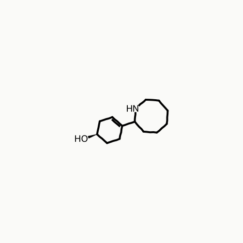 O[C@H]1CC=C(C2CCCCCCN2)CC1